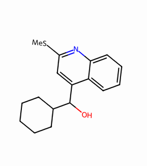 CSc1cc(C(O)C2CCCCC2)c2ccccc2n1